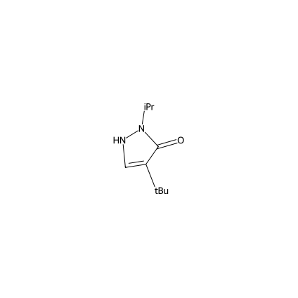 CC(C)n1[nH]cc(C(C)(C)C)c1=O